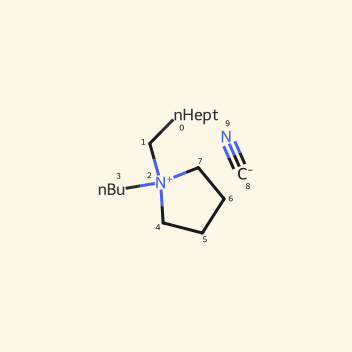 CCCCCCCC[N+]1(CCCC)CCCC1.[C-]#N